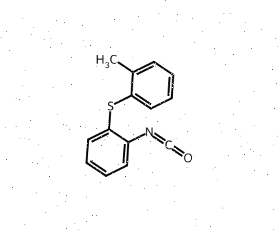 Cc1ccccc1Sc1ccccc1N=C=O